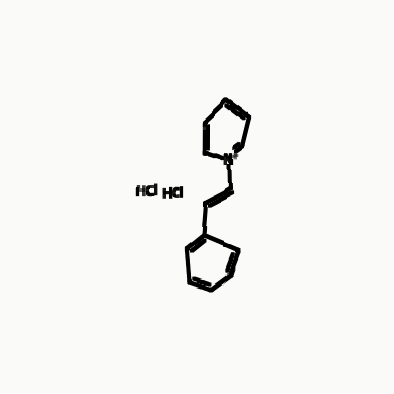 C(=C[n+]1ccccc1)c1ccccc1.Cl.Cl